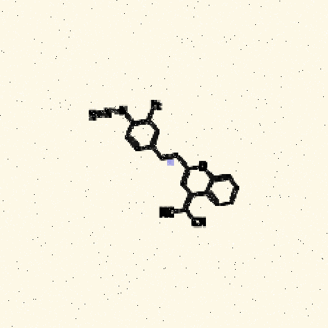 CCc1cc(/C=C/C2=CC(=C(C#N)C#N)c3ccccc3O2)ccc1N=[N+]=[N-]